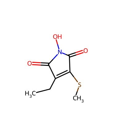 CCC1=C(SC)C(=O)N(O)C1=O